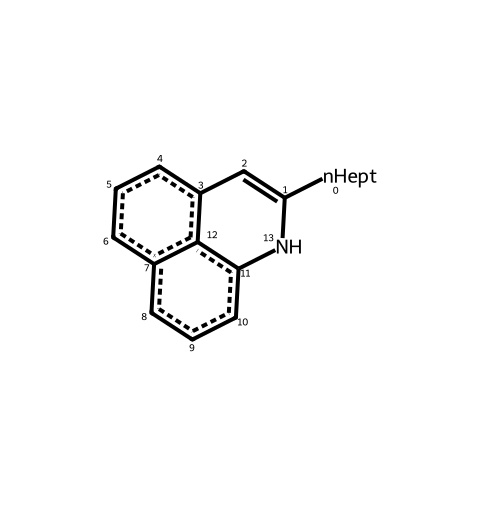 CCCCCCCC1=Cc2cccc3cccc(c23)N1